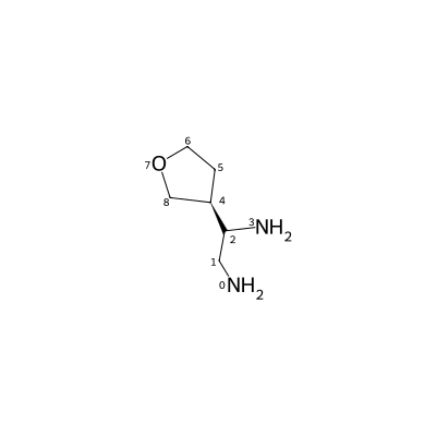 NCC(N)[C@@H]1CCOC1